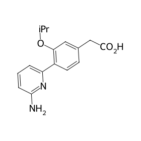 CC(C)Oc1cc(CC(=O)O)ccc1-c1cccc(N)n1